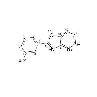 CC(C)c1cccc(-c2nc3ncccc3o2)c1